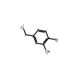 N#Cc1cc(CCl)ccc1Br